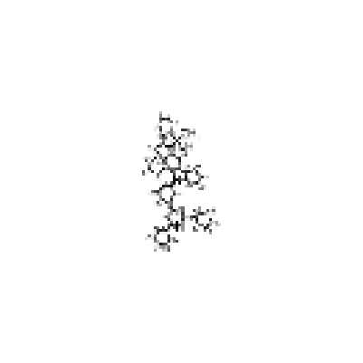 CC1(C)c2ccccc2-c2cc3c4c(c5c(cc4c21)c1ccccc1n5-c1cccc(-c2cc(-c4ccccc4)nc(-c4ccccc4)n2)c1)CC=C3